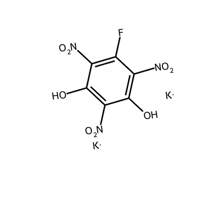 O=[N+]([O-])c1c(O)c([N+](=O)[O-])c(F)c([N+](=O)[O-])c1O.[K].[K]